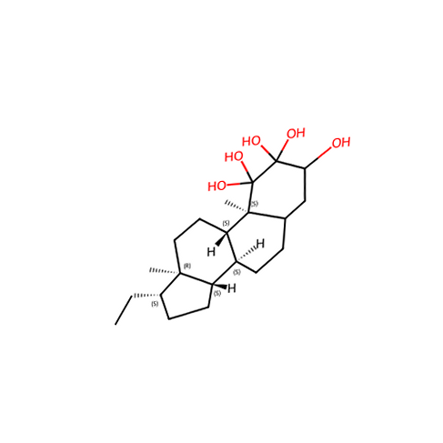 CC[C@H]1CC[C@H]2[C@@H]3CCC4CC(O)C(O)(O)C(O)(O)[C@]4(C)[C@H]3CC[C@]12C